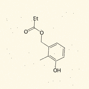 CCC(=O)OCc1cccc(O)c1C